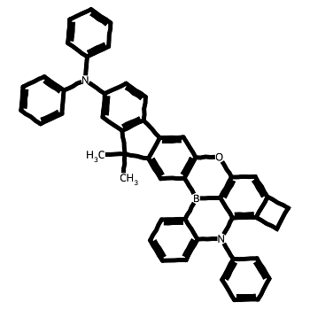 CC1(C)c2cc(N(c3ccccc3)c3ccccc3)ccc2-c2cc3c(cc21)B1c2ccccc2N(c2ccccc2)c2c4c(cc(c21)O3)CC4